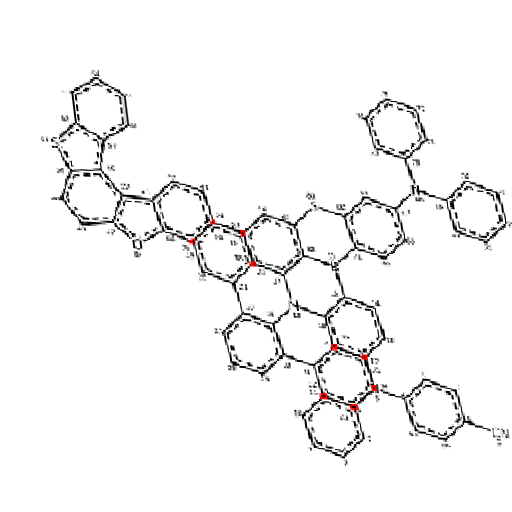 N#Cc1ccc(N(c2ccccc2)c2ccc3c(c2)N(c2c(-c4ccccc4)cccc2-c2ccccc2)c2cc(-c4ccc5c(c4)oc4ccc6sc7ccccc7c6c45)cc4c2B3c2ccc(N(c3ccccc3)c3ccccc3)cc2S4)cc1